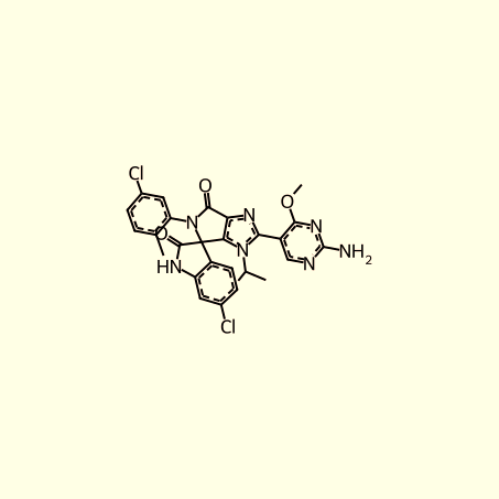 COc1nc(N)ncc1-c1nc2c(n1C(C)C)C1(C(=O)Nc3cc(Cl)ccc31)N(c1cc(Cl)ccc1C)C2=O